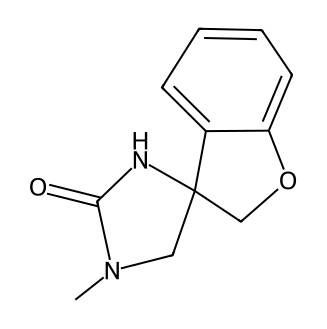 CN1CC2(COc3ccccc32)NC1=O